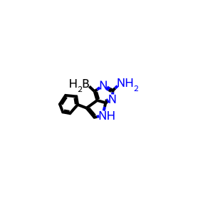 Bc1nc(N)nc2[nH]cc(-c3ccccc3)c12